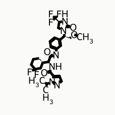 COC[C@H](c1ccc2oc([C@@H](NC(=O)c3ccnn3C(C)C)[C@H]3CCCC(F)(F)C3)nc2c1)N1C[C@@H](C(F)(F)F)NC1=O